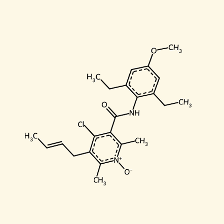 CC=CCc1c(Cl)c(C(=O)Nc2c(CC)cc(OC)cc2CC)c(C)[n+]([O-])c1C